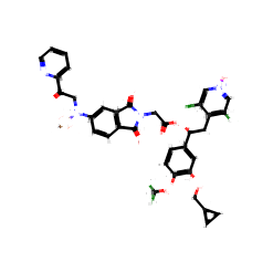 CS(=O)(=O)N(CC(=O)c1ccccn1)c1ccc2c(c1)C(=O)N(CC(=O)OC(Cc1c(Cl)c[n+]([O-])cc1Cl)c1ccc(OC(F)F)c(OCC3CC3)c1)C2=O